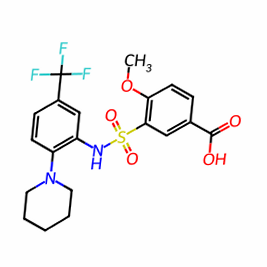 COc1ccc(C(=O)O)cc1S(=O)(=O)Nc1cc(C(F)(F)F)ccc1N1CCCCC1